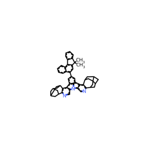 CC1(C)c2ccccc2-c2c1cc(-c1cc3c4c5c(ncc4n4c6cnc7c(c6c(c1)c34)C1CC3CC4CC7CC43C1)C1CC3CC(C1)CC5C3)c1ccccc21